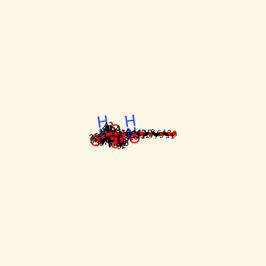 CCCCCCCCCCCCCCCC(=O)NCCCC[C@H]1C(=O)N2[C@@H](Cc3c([nH]c4cc(OC)ccc34)[C@@H]2CC(C)C)C(=O)N1C(=O)C(C)(C)C